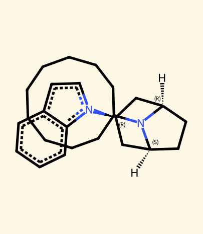 c1ccc2c(c1)ccn2[C@H]1C[C@H]2CC[C@@H](C1)N2C1CCCCCCCCC1